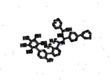 CCCc1ccc(-c2c(O)c(O)c(O)c(O)c2O)cc1-c1cccc(/C(C)=N/C(NC(=N)c2ccccc2)c2ccc(-c3ccccc3)cc2)c1C